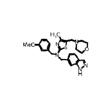 COc1cccc(CN(Cc2ccc3cn[nH]c3c2)c2nc(C)c(CN3CCOCC3)s2)c1